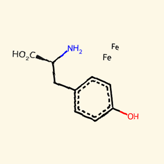 N[C@@H](Cc1ccc(O)cc1)C(=O)O.[Fe].[Fe]